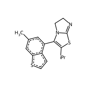 Cc1cc(C2=C(C(C)C)SC3=NCCN32)c2ccsc2c1